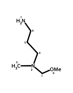 COCN(C)CCCN